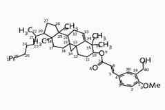 COc1ccc(/C=C/C(=O)OC2CCC34CC35CCC3(C)C(C(C)CCCC(C)C)CCC3(C)C5CC=C4C2(C)C)cc1CO